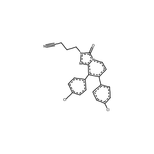 N#CCCCn1nc2c(-c3ccc(Cl)cc3)c(-c3ccc(Cl)cc3)ccn2c1=O